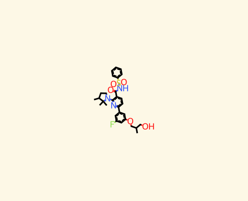 CC(CO)COc1cc(F)cc(-c2ccc(C(=O)NS(=O)(=O)c3ccccc3)c(N3CCC(C)C3(C)C)n2)c1